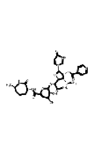 CO[C@H]1[C@@H](OC(=O)c2ccncc2)[C@H](N2C=CC(=O)NC2)O[C@@H]1[C@@H](OC1OC(C(=O)N[C@H]2CCC[C@@H](C)NC2=O)=C[C@H](O)[C@@H]1O)C(N)=O